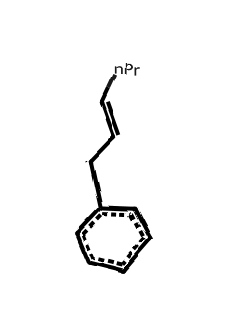 CCCC=C[CH]c1ccccc1